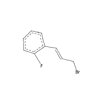 Fc1ccccc1/C=C/CBr